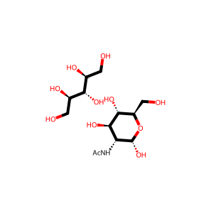 CC(=O)N[C@@H]1[C@@H](O)[C@H](O)[C@@H](CO)O[C@@H]1O.OC[C@@H](O)[C@@H](O)[C@@H](O)CO